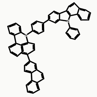 c1ccc(-c2ccccc2N(c2ccc(-c3ccc4c(ccc5ccccc54)c3)cc2)c2ccc(-c3ccc4c5ccc6ccccc6c5n(-c5ccccc5)c4c3)cc2)cc1